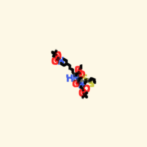 CCOC(=O)[C@H](CCCCC1CCN(C(=O)OC(C)(C)C)CC1)N[C@H]1CS[C@H](c2cccs2)CN(CC(=O)OC(C)(C)C)C1=O